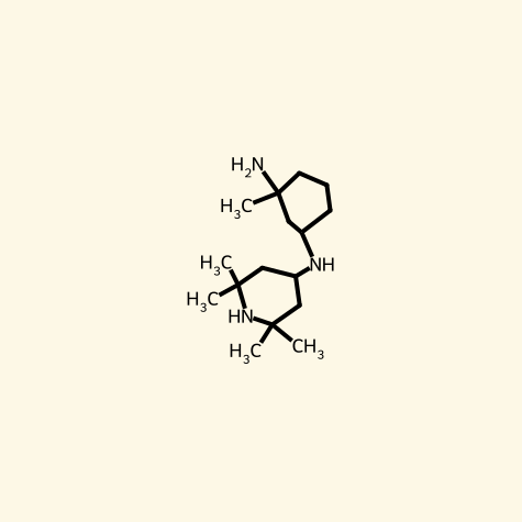 CC1(N)CCCC(NC2CC(C)(C)NC(C)(C)C2)C1